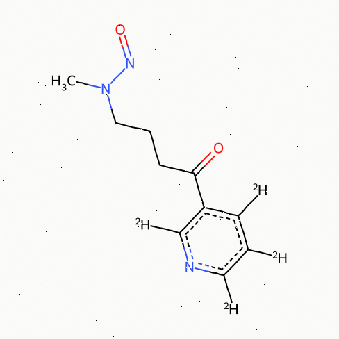 [2H]c1nc([2H])c(C(=O)CCCN(C)N=O)c([2H])c1[2H]